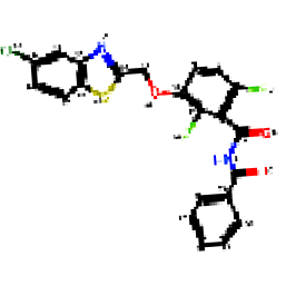 O=C(NC(=O)c1c(F)ccc(OCc2nc3cc(Cl)ccc3s2)c1F)c1ccccc1